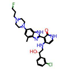 Cc1cc(N2CCN(CCCF)CC2)cc2[nH]c(-c3c(NC[C@@H](O)c4cccc(Cl)c4)cc[nH]c3=O)nc12